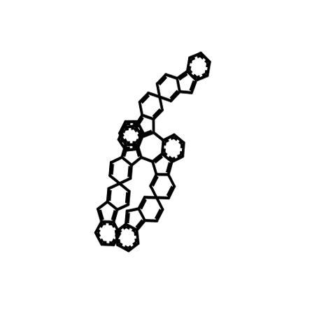 C1=CC2(C=CC3=c4ccccc4=C(C4=c5c(C6=c7ccccc7=C7C=CC8(C=CC9=c%10ccccc%10=CC9=C8)C=C76)cccc5=C5C=CC6(C=CC7=c8ccccc8=CC7=C6)C=C54)C3=C2)C=C2C=c3ccccc3=C12